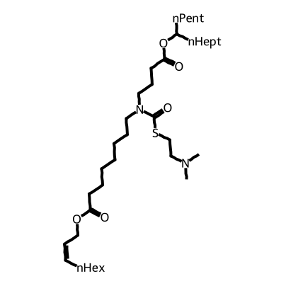 CCCCCC/C=C\COC(=O)CCCCCCCN(CCCC(=O)OC(CCCCC)CCCCCCC)C(=O)SCCN(C)C